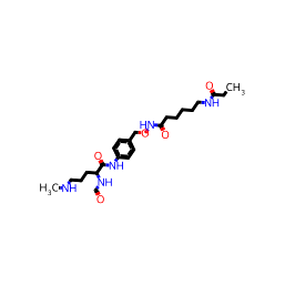 CCC(=O)NCCCCCC(=O)NOCc1ccc(NC(=O)C(CCCNC)NC=O)cc1